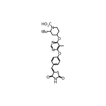 Cc1c(Oc2ccc(/C=C3\SC(=O)NC3=O)cc2)ncnc1OC1CCN(C(=O)O)C(C(C)(C)C)C1